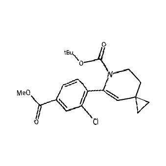 COC(=O)c1ccc(C2=CC3(CCN2C(=O)OC(C)(C)C)CC3)c(Cl)c1